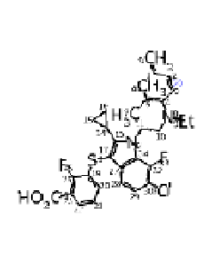 C=C/C=C\C(=C(C)C)N(CC)CCn1c(C2CC2)c(Sc2cccc(C(=O)O)c2F)c2ccc(Cl)c(F)c21